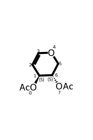 CC(=O)O[C@H]1C=COC[C@@H]1OC(C)=O